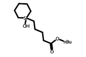 CCCCOC(=O)CCCC[Si]1(O)CCCCC1